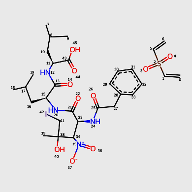 C=CS(=O)(=O)C=C.CC(C)C[C@H](NC(=O)[C@H](CC(C)C)NC(=O)[C@@H](NC(=O)Cc1ccccc1)C([N+](=O)[O-])C(C)(O)CI)C(=O)O